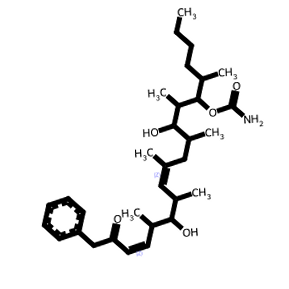 CCCCC(C)C(OC(N)=O)C(C)C(O)C(C)C/C(C)=C\C(C)C(O)C(C)/C=C\C(=O)Cc1ccccc1